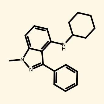 Cn1nc(-c2ccccc2)c2c(NC3CCCCC3)cccc21